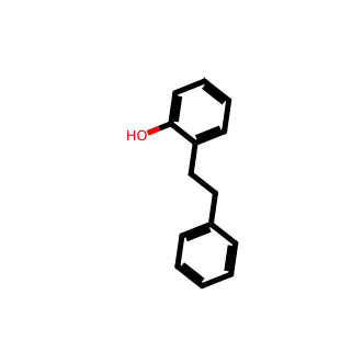 Oc1c[c]ccc1CCc1ccccc1